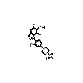 CS(=O)(=O)N1CCN(c2ccc(-n3ncc4cc(F)c(O)c(F)c43)c(F)c2)CC1